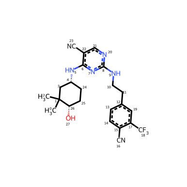 CC1(C)C[C@H](Nc2nc(NCCc3ccc(C#N)c(C(F)(F)F)c3)ncc2C#N)CC[C@@H]1O